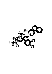 CN(CC(CCN1CCC2(CC1)SCc1ccccc12)(c1ccc(Cl)c(Cl)c1)N(C)C(=O)OC(C)(C)C)C(=O)C(F)(F)Cl